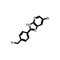 BrCc1ccc(-c2nc3cc(Br)cnc3[nH]2)cc1